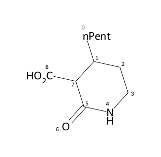 CCCCCC1CCNC(=O)C1C(=O)O